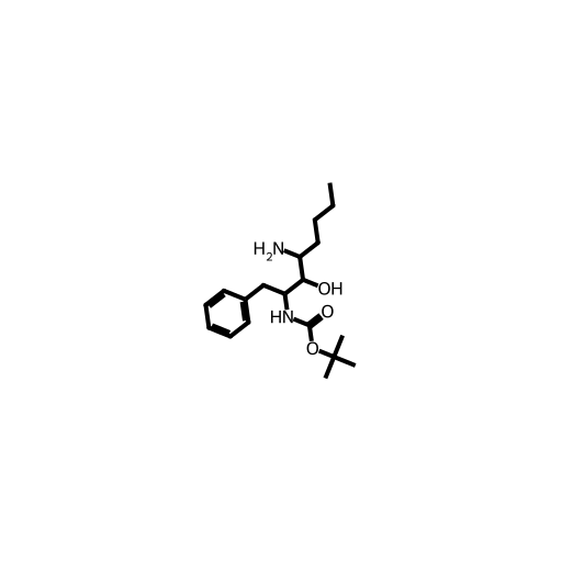 CCCCC(N)C(O)C(Cc1ccccc1)NC(=O)OC(C)(C)C